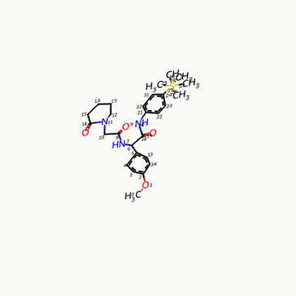 COc1ccc(C(NC(=O)CN2CCCCC2=O)C(=O)Nc2ccc(S(C)(C)(C)(C)C)cc2)cc1